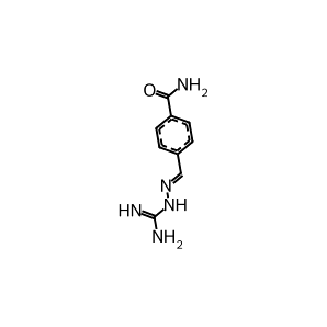 N=C(N)NN=Cc1ccc(C(N)=O)cc1